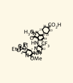 CCOP(=O)(Cc1ccc(Nc2ncc(C(F)(F)F)c(Nc3ccc([C@H]4CC[C@H](C(=O)O)CC4)c4c3C(=O)N(C)C4)n2)c(OC)n1)OCC